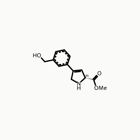 COC(=O)[C@H]1C=C(c2cccc(CO)c2)CN1